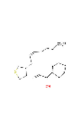 O=C(O)CCC/C=C\C[C@H]1CSC[C@H]1/C=C/C(O)C1CCCCC1